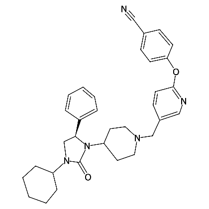 N#Cc1ccc(Oc2ccc(CN3CCC(N4C(=O)N(C5CCCCC5)C[C@H]4c4ccccc4)CC3)cn2)cc1